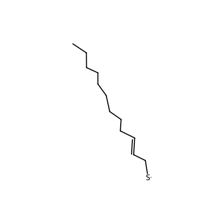 CCCCCCCCCC=CC[S]